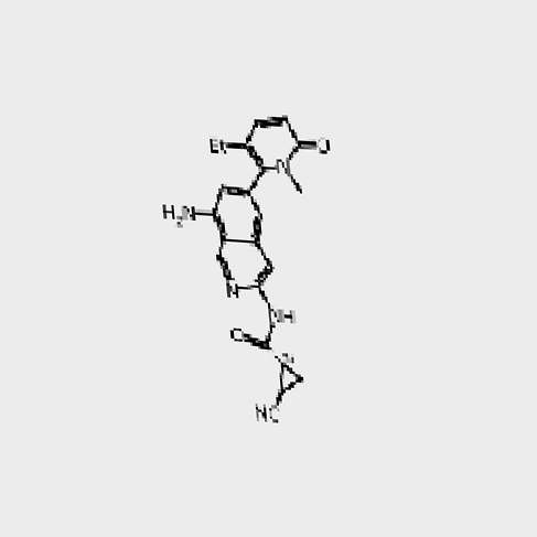 CCc1ccc(=O)n(C)c1-c1cc(N)c2cnc(NC(=O)[C@@H]3CC3C#N)cc2c1